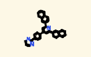 c1cnc(-c2ccc(-c3cc(-c4ccc5ccccc5c4)nc(-c4ccc5ccccc5c4)c3)cc2)nc1